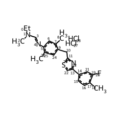 CCN(C)C=Nc1cc(C)c(Cc2nc(-c3ccc(C)c(F)c3)cs2)cc1C.Cl.Cl